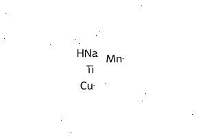 [Cu].[Mn].[NaH].[Ti]